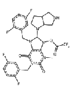 Cn1c2c(c(=O)n(Cc3cc(F)ccc3F)c1=O)N(Cc1cc(F)ccc1F)C(N1CCC3CNCC31)N2OC(=O)C(F)(F)F